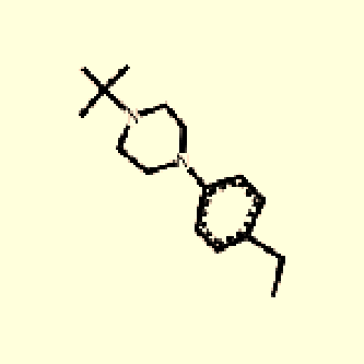 CCc1ccc(N2CCN(C(C)(C)C)CC2)cc1